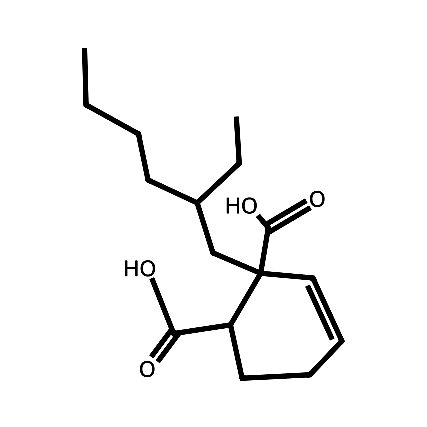 CCCCC(CC)CC1(C(=O)O)C=CCCC1C(=O)O